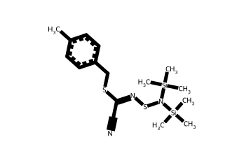 Cc1ccc(CSC(C#N)=NSN([Si](C)(C)C)[Si](C)(C)C)cc1